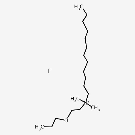 CCCCCCCCCCCC[N+](C)(C)CCOCCC.[I-]